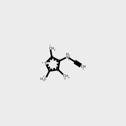 C#C[SiH2]c1c(C)sc(C)c1C